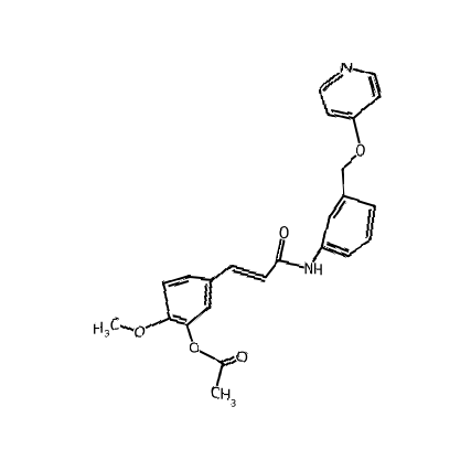 COc1ccc(/C=C/C(=O)Nc2cccc(COc3ccncc3)c2)cc1OC(C)=O